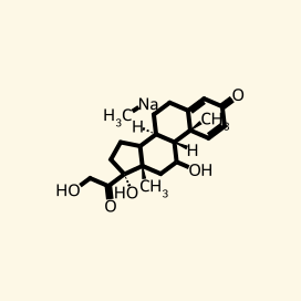 C[C@]12C=CC(=O)C=C1CC[C@@H]1C3CC[C@](O)(C(=O)CO)[C@@]3(C)CC(O)[C@H]12.[CH3][Na]